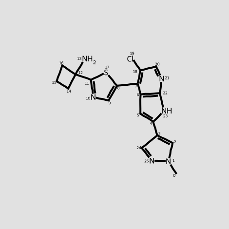 Cn1cc(-c2cc3c(-c4cnc(C5(N)CCC5)s4)c(Cl)cnc3[nH]2)cn1